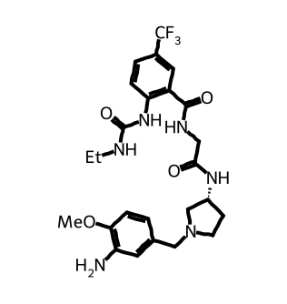 CCNC(=O)Nc1ccc(C(F)(F)F)cc1C(=O)NCC(=O)N[C@@H]1CCN(Cc2ccc(OC)c(N)c2)C1